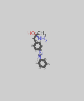 CC(N)(O)Cc1ccc(/N=N/c2ccccc2)cc1